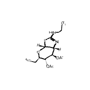 CC(=O)OC[C@H]1O[C@@H]2SC(NCC(F)(F)F)=N[C@@H]2[C@@H](OC(C)=O)[C@@H]1OC(C)=O